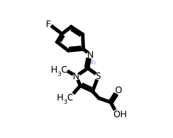 Cc1c(CC(=O)O)s/c(=N/c2ccc(F)cc2)n1C